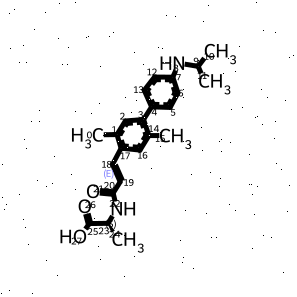 Cc1cc(-c2ccc(NC(C)C)cc2)c(C)cc1/C=C/C(=O)N[C@@H](C)C(=O)O